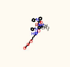 CC(C)(C)c1cc(OCCNCCCCCCOCCOCCC=O)c(NCc2ccccc2)cc1NC(=O)c1cn(Cc2ccccc2)c2ccccc2c1=O